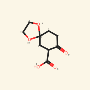 O=C(O)C1CC2(CCC1=O)OCCO2